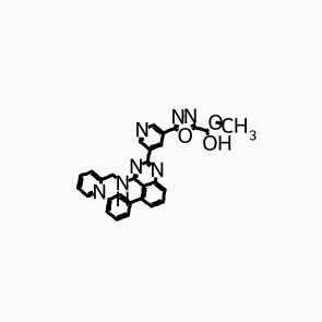 COC(O)c1nnc(-c2cncc(-c3nc(NCc4ccccn4)c4c(-c5ccccc5)cccc4n3)c2)o1